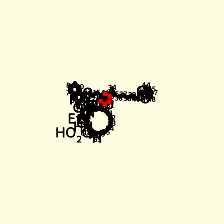 CCC1[C@@H](Oc2nc3ccccc3c(OCCN3CCCCC3)c2Br)CN2C(=O)[C@@H](NC(=O)O[C@@H]3C[C@H]3CCCC=CB3OC(C)(C)C(C)(C)O3)CCCCCC=C[C@@H]3C[C@@]3(C(=O)O)NC(=O)[C@H]12